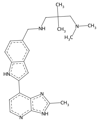 Cc1nc2c(-c3cc4cc(CNCC(C)(C)CN(C)C)ccc4[nH]3)ccnc2[nH]1